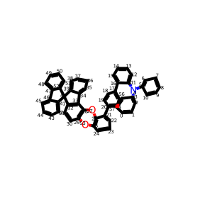 c1ccc(N(c2ccccc2)c2ccccc2-c2ccc(-c3cccc4c3Oc3c(ccc5c3-c3ccccc3C53c5ccccc5-c5ccccc53)O4)cc2)cc1